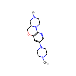 CC(C)N1CCN2c3ncc(N4CCN(C)CC4)cc3OCC2C1